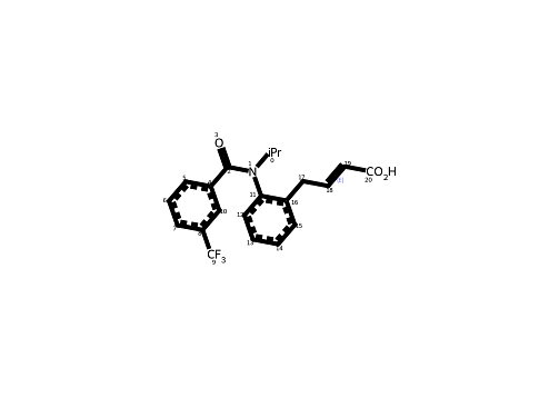 CC(C)N(C(=O)c1cccc(C(F)(F)F)c1)c1ccccc1C/C=C/C(=O)O